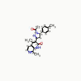 CCC(=O)N1N=C(c2c(C)c3ccnc(C)c3[nH]c2=O)C[C@@H]1c1ccc(C)cc1